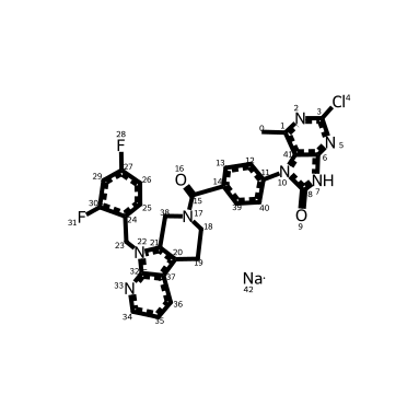 Cc1nc(Cl)nc2[nH]c(=O)n(-c3ccc(C(=O)N4CCc5c(n(Cc6ccc(F)cc6F)c6ncccc56)C4)cc3)c12.[Na]